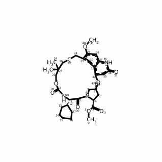 COC(=O)[C@@H]1C[C@@H]2CN1C(=O)[C@H](C1CCCCC1)NC(=O)OCC(C)(C)CCCc1cc3c(cc(=O)[nH]c3cc1OC)O2